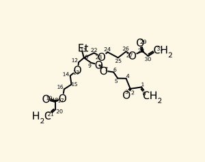 C=CC(=O)CCCOOCC(CC)(COCCCOC(=O)C=C)COCCCOC(=O)C=C